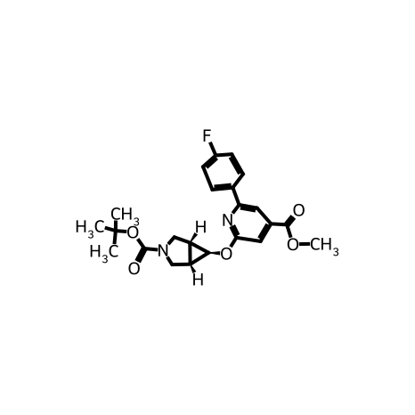 COC(=O)c1cc(O[C@H]2[C@@H]3CN(C(=O)OC(C)(C)C)C[C@@H]32)nc(-c2ccc(F)cc2)c1